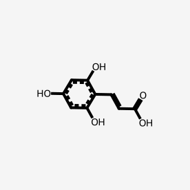 O=C(O)C=Cc1c(O)cc(O)cc1O